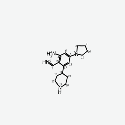 N=Cc1c(N)cc(N2CCCC2)cc1C1CCNCC1